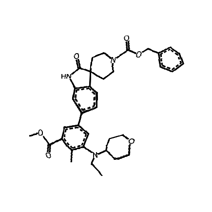 CCN(c1cc(-c2ccc3c(c2)NC(=O)C32CCN(C(=O)OCc3ccccc3)CC2)cc(C(=O)OC)c1C)C1CCOCC1